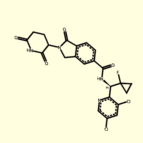 O=C1CCC(N2Cc3cc(C(=O)N[C@H](c4ncc(Cl)cc4Cl)C4(F)CC4)ccc3C2=O)C(=O)N1